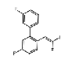 FC(F)=Cc1ccc(F)cc1-c1cccc(F)c1